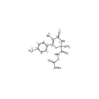 CCCCCCC(=O)CNC(=O)C1(C)CC(c2ccc(C)cc2)=C(C#N)C(=O)N1